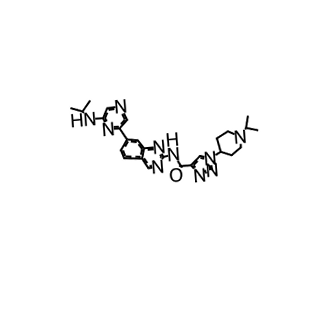 CC(C)Nc1cncc(-c2ccc3cnc(NC(=O)c4cn(C5CCN(C(C)C)CC5)nn4)nc3c2)n1